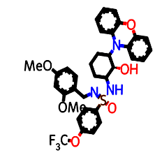 COc1ccc(CN=S(=O)(NC2CCCC(N3c4ccccc4Oc4ccccc43)[C@H]2O)c2ccc(OC(F)(F)F)cc2)c(OC)c1